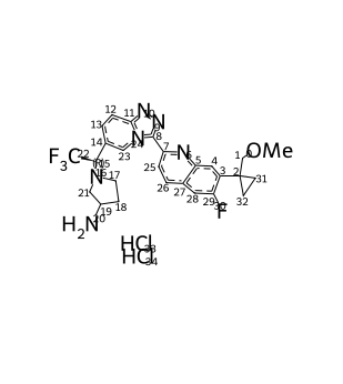 COCC1(c2cc3nc(-c4nnc5ccc([C@@H](N6CCC(N)C6)C(F)(F)F)cn45)ccc3cc2F)CC1.Cl.Cl